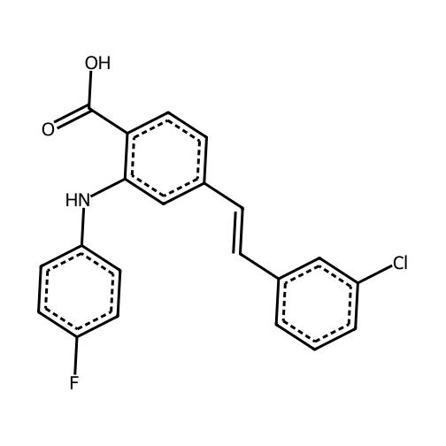 O=C(O)c1ccc(C=Cc2cccc(Cl)c2)cc1Nc1ccc(F)cc1